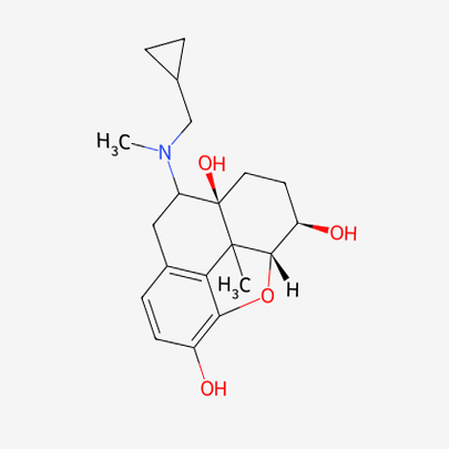 CN(CC1CC1)C1Cc2ccc(O)c3c2C2(C)[C@@H](O3)[C@H](O)CC[C@@]12O